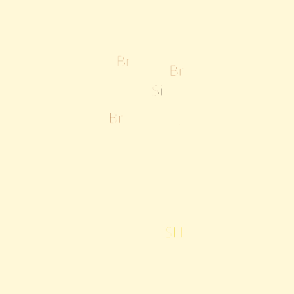 SCCC[Si](Br)(Br)Br